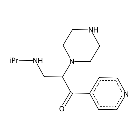 CC(C)NCC(C(=O)c1ccncc1)N1CCNCC1